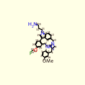 COc1cccc(CC2CN(Cc3ccc4c(c3)c(-c3ccc(OCF)cc3CN)cn4CCCN)C2)c1